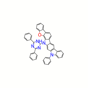 c1ccc(C2=NC(n3c4cc5c(cc4c4ccc6c7ccccc7oc6c43)c3ccccc3n5-c3ccccc3)NC(c3ccccc3)=N2)cc1